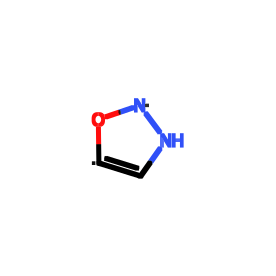 [C]1=CN[N]O1